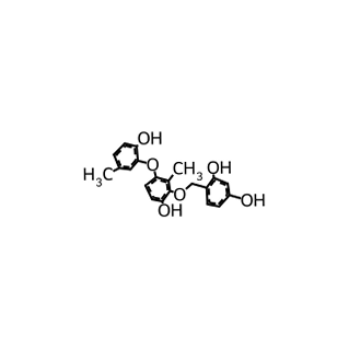 Cc1ccc(O)c(Oc2ccc(O)c(OCc3ccc(O)cc3O)c2C)c1